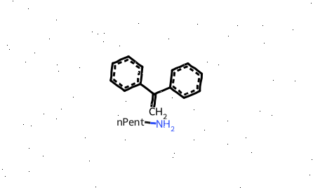 C=C(c1ccccc1)c1ccccc1.CCCCCN